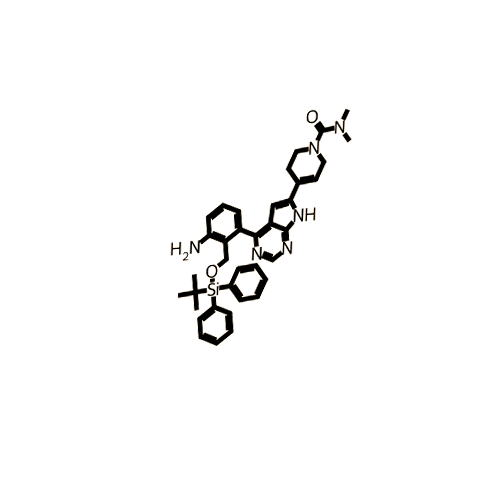 CN(C)C(=O)N1CC=C(c2cc3c(-c4cccc(N)c4CO[Si](c4ccccc4)(c4ccccc4)C(C)(C)C)ncnc3[nH]2)CC1